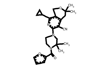 CC1(C)Cc2c(C#N)c(N3CCN(C(=O)c4ccco4)C(C)(C)C3)nc(C3CC3)c2CO1